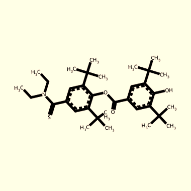 CCN(CC)C(=S)c1cc(C(C)(C)C)c(OC(=O)c2cc(C(C)(C)C)c(O)c(C(C)(C)C)c2)c(C(C)(C)C)c1